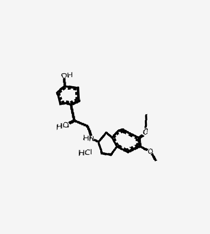 COc1cc2c(cc1OC)CC(NCC(O)c1ccc(O)cc1)CC2.Cl